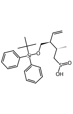 C=C[C@H](CO[Si](c1ccccc1)(c1ccccc1)C(C)(C)C)[C@H](C)CS(=O)O